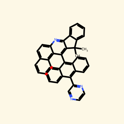 CC1(C)c2ccccc2-c2nc3ccc4ccccc4c3c(-c3c4ccccc4c(-c4cnccn4)c4ccccc34)c21